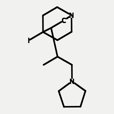 CC(CN1CCCC1)C1CN2CCC1(I)CC2